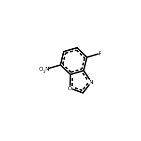 O=[N+]([O-])c1ccc(F)c2ncoc12